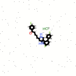 Cl.O=C(CCCCC1Cc2[nH]c3c(F)ccc(-c4ccc(F)cc4)c3c2CN1)c1ccc(F)cc1